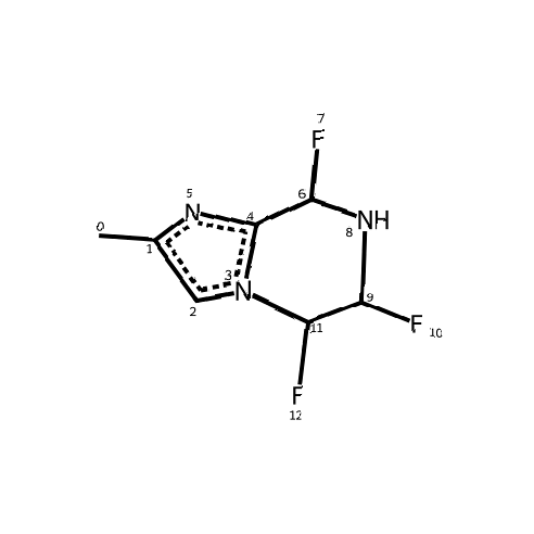 Cc1cn2c(n1)C(F)NC(F)C2F